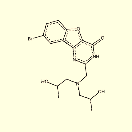 CC(O)CN(Cc1nc2c(oc3ccc(Br)cc32)c(=O)[nH]1)CC(C)O